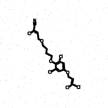 N#CC(Cl)=CCOCCCCOc1c(Cl)cc(OCC=C(Cl)Cl)cc1Cl